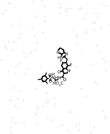 Cc1cc(C)c(S(=O)(=O)NC(CNC(=O)c2cn(C)c3c(F)c(Cc4nc5cccnc5[nH]4)c(F)cc3c2=O)C(=O)O)c(C)c1